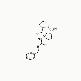 O=C(NC1(C(=O)N2CCC[C@H]2C(=O)O)CCCC1)OCc1ccccc1